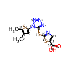 Cc1cc(-n2nnnc2Sc2ncc(C(=O)O)s2)sc1C